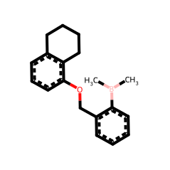 CB(C)c1ccccc1COc1cccc2c1CCCC2